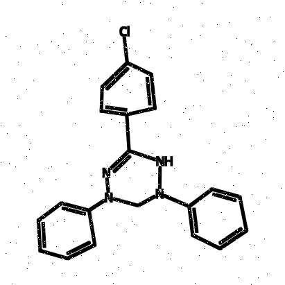 Clc1ccc(C2=NN(c3ccccc3)CN(c3ccccc3)N2)cc1